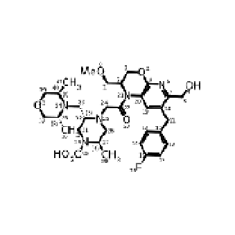 COCC1COc2nc(CO)c(Cc3ccc(F)cc3)cc2N1C(=O)CN1C[C@@H](C)N(C(=O)O)C[C@@H]1CN1[C@H](C)COC[C@H]1C